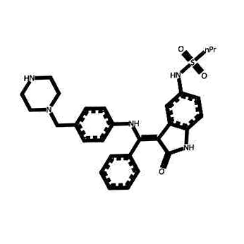 CCCS(=O)(=O)Nc1ccc2c(c1)C(=C(Nc1ccc(CN3CCNCC3)cc1)c1ccccc1)C(=O)N2